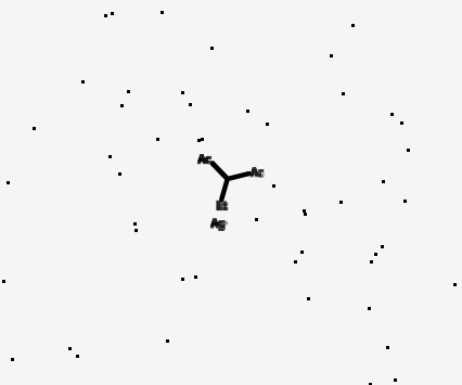 CCC(C(C)=O)C(C)=O.[Ag]